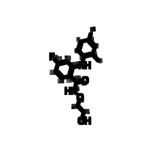 Cc1cc(I)ccc1Nc1cc(F)ccc1C(=O)NOCCO